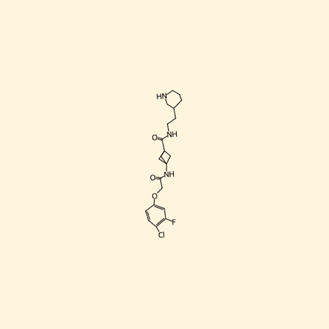 O=C(COc1ccc(Cl)c(F)c1)NC12CC(C(=O)NCCC3CCCNC3)(C1)C2